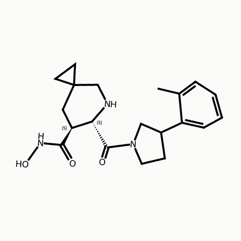 Cc1ccccc1C1CCN(C(=O)[C@H]2NCC3(CC3)C[C@@H]2C(=O)NO)C1